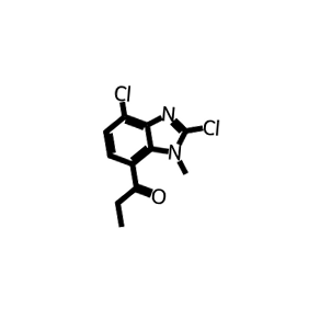 CCC(=O)c1ccc(Cl)c2nc(Cl)n(C)c12